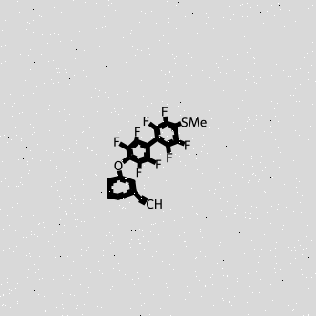 C#Cc1cccc(Oc2c(F)c(F)c(-c3c(F)c(F)c(SC)c(F)c3F)c(F)c2F)c1